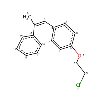 C/C(=C/c1ccc(OCCCl)cc1)c1ccccc1